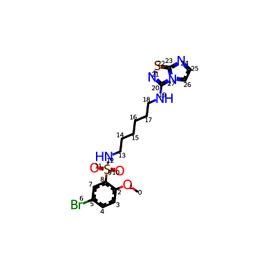 COc1ccc(Br)cc1S(=O)(=O)NCCCCCCNc1nsc2nccn12